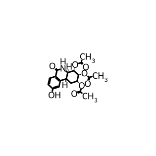 CC(=O)O[C@H]1[C@@H]2NC(=O)c3ccc(O)cc3[C@H]2C[C@H](OC(C)=O)[C@H]1OC(C)=O